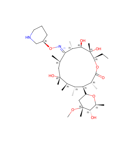 CC[C@H]1OC(=O)[C@H](C)[C@@H](C2C[C@@](C)(OC)[C@@H](O)[C@H](C)O2)[C@H](C)[C@@H](C)[C@](C)(O)C[C@@H](C)/C(=N\O[C@@H]2CCCNC2)[C@H](C)[C@@H](O)[C@]1(C)O